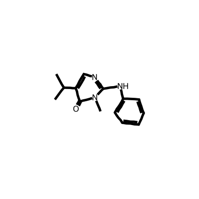 CC(C)c1cnc(Nc2ccccc2)n(C)c1=O